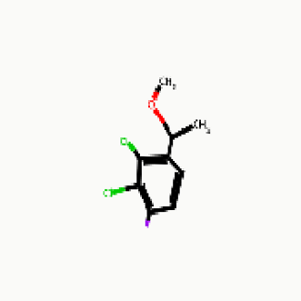 COC(C)c1ccc(I)c(Cl)c1Cl